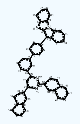 c1cc(-c2ccc(-c3c4ccccc4n4c3sc3ccccc34)cc2)cc(-c2cc(-c3ccc4ccccc4c3)nc(-c3ccc4ccccc4c3)n2)c1